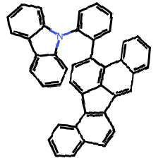 c1ccc(-n2c3ccccc3c3ccccc32)c(-c2ccc3c4c(cc5ccccc5c24)-c2ccc4ccccc4c2-3)c1